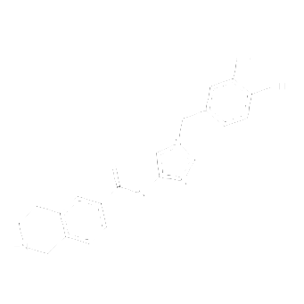 Cc1ccc(Cn2cnc(NC(=O)c3ccc4c(c3)CCNC4)c2)cc1C(F)(F)F